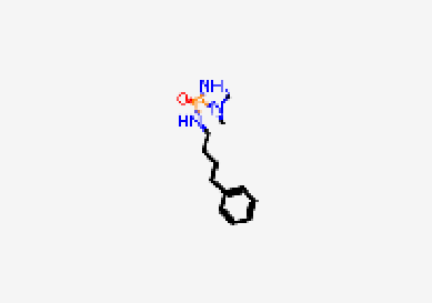 CN(C)P(N)(=O)NCCCCc1ccccc1